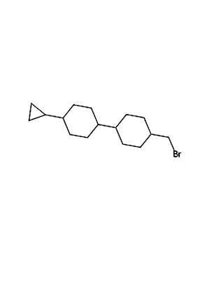 BrCC1CCC(C2CCC(C3CC3)CC2)CC1